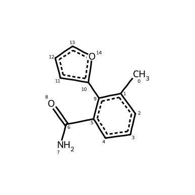 Cc1cccc(C(N)=O)c1-c1ccco1